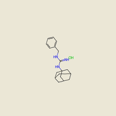 Cl.N=C(NCc1ccccc1)NC12CC3CC(CC(C3)C1)C2